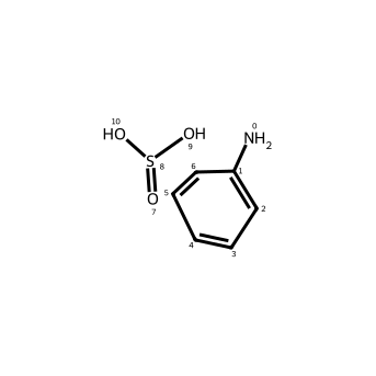 Nc1ccccc1.O=S(O)O